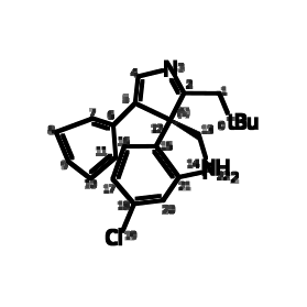 CC(C)(C)CC1=NC=C(c2ccccc2)[C@@]1(CN)c1ccc(Cl)cc1F